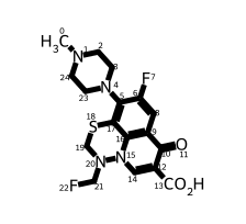 CN1CCN(c2c(F)cc3c(=O)c(C(=O)O)cn4c3c2SCN4CF)CC1